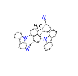 CC1(c2ccc(-n3c4ccccc4c4ccccc43)cc2)C(c2ccc(C#N)cc2-n2c3ccccc3c3ccccc32)=CC=CC1C#N